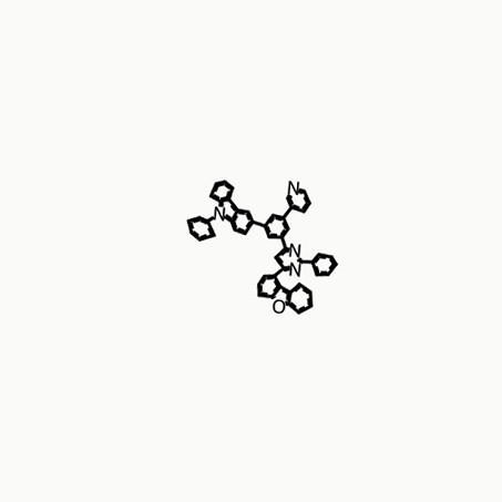 c1ccc(-c2nc(-c3cc(-c4cccnc4)cc(-c4ccc5c(c4)c4ccccc4n5-c4ccccc4)c3)cc(-c3cccc4oc5ccccc5c34)n2)cc1